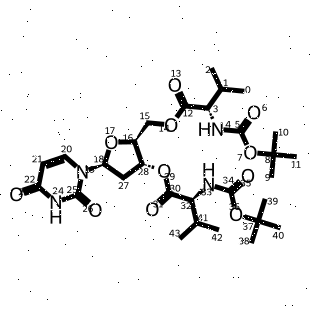 CC(C)[C@H](NC(=O)OC(C)(C)C)C(=O)OC[C@@H]1O[C@H](n2ccc(=O)[nH]c2=O)C[C@H]1OC(=O)[C@@H](NC(=O)OC(C)(C)C)C(C)C